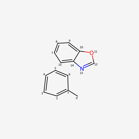 Cc1ccccc1.c1ccc2ocnc2c1